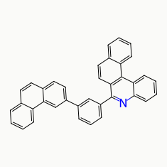 c1cc(-c2ccc3ccc4ccccc4c3c2)cc(-c2nc3ccccc3c3c2ccc2ccccc23)c1